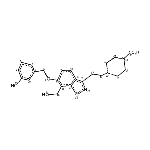 N#Cc1cccc(COc2ccc3c(CCC4CCN(C(=O)O)CC4)noc3c2CO)c1